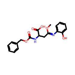 COC(CC(NC(=O)OCc1ccccc1)C(=O)O)=Nc1ccccc1O